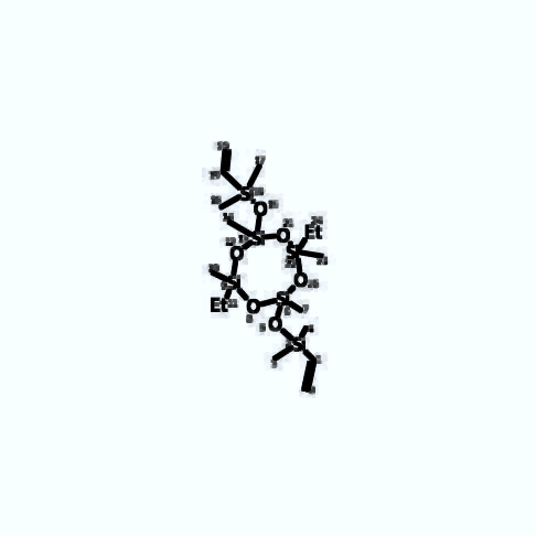 C=C[Si](C)(C)O[Si]1(C)O[Si](C)(CC)O[Si](C)(O[Si](C)(C)C=C)O[Si](C)(CC)O1